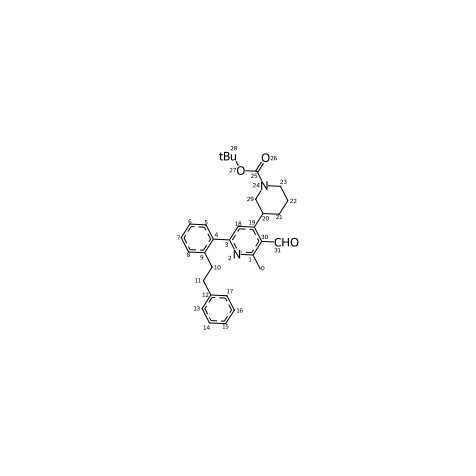 Cc1nc(-c2ccccc2CCc2ccccc2)cc(C2CCCN(C(=O)OC(C)(C)C)C2)c1C=O